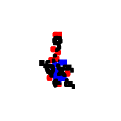 CCNC(=O)c1c[nH]c(C(=N)N(C(=O)OCOC(=O)Cc2ccc(O)cc2)c2cc(C(=O)Nc3ccon3)ccc2C)c1C